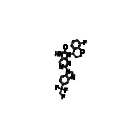 O=c1[nH]c2cnc(-n3cnc4cc(C(F)(F)CF)ccc43)nc2n1C1CCOc2c(F)cccc21